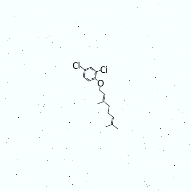 CC(C)=CCC/C(C)=C/COc1ccc(Cl)cc1Cl